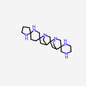 C1CNC2(C1)CCC1(CN2)CC2CN1CC21CC2CCN1CC21CNCCN1